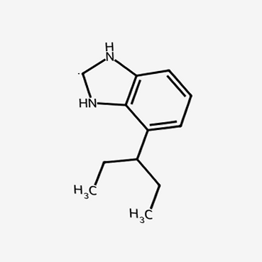 CCC(CC)c1cccc2c1N[CH]N2